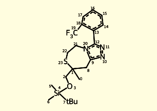 CC1(CO[Si](C)(C)C(C)(C)C)Cc2nnc(-c3ccccc3C(F)(F)F)n2CCS1